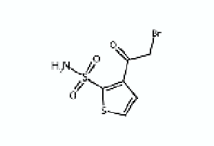 NS(=O)(=O)c1sccc1C(=O)CBr